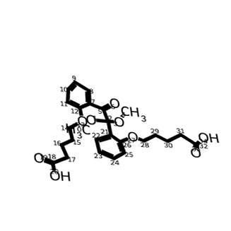 COC(OC)(C(=O)c1ccccc1OCCCCC(=O)O)c1ccccc1OCCCCC(=O)O